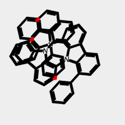 c1ccc(-c2ccccc2-n2c3ccccc3c3cccc(-n4c5c(-c6ccccc6)cccc5c5cccc([Si](c6ccccc6)(c6ccccc6)c6ccccc6)c54)c32)cc1